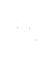 COc1nc2c(C)nnc(N[C@H](C)c3cccc(C(F)(F)CO)c3F)c2cc1N(C)CC1COC[C@@H]1C